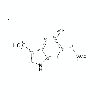 COCc1cc2[nH]cc(C(=O)O)c2cc1C(F)(F)F